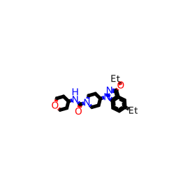 CCOc1nn(C2CCN(C(=O)NC3CCOCC3)CC2)c2ccc(CC)cc12